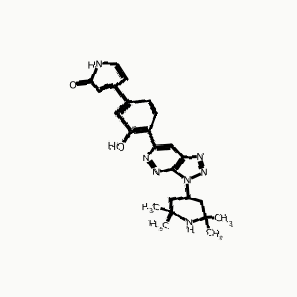 CC1(C)CC(n2nnc3cc(-c4ccc(-c5cc[nH]c(=O)c5)cc4O)nnc32)CC(C)(C)N1